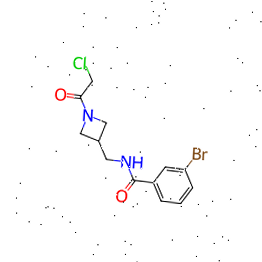 O=C(NCC1CN(C(=O)CCl)C1)c1cccc(Br)c1